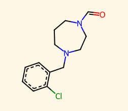 O=CN1CCCN(Cc2ccccc2Cl)CC1